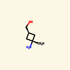 N[C@]1(C(=O)O)C[C@@H](CO)C1